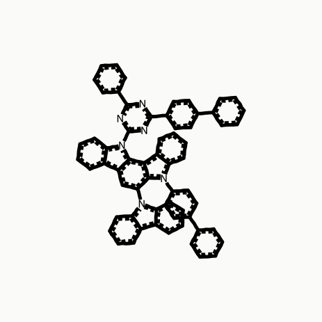 c1ccc(-c2ccc(-c3nc(-c4ccccc4)nc(-n4c5ccccc5c5cc(-n6c7ccccc7c7ccccc76)c6c(c7ccccc7n6-c6ccc(-c7ccccc7)cc6)c54)n3)cc2)cc1